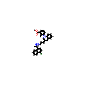 COC(=O)c1cccc(N2CC(CCCN[C@H](C)c3ccc(F)c4ccccc34)Cc3ccccc32)c1C